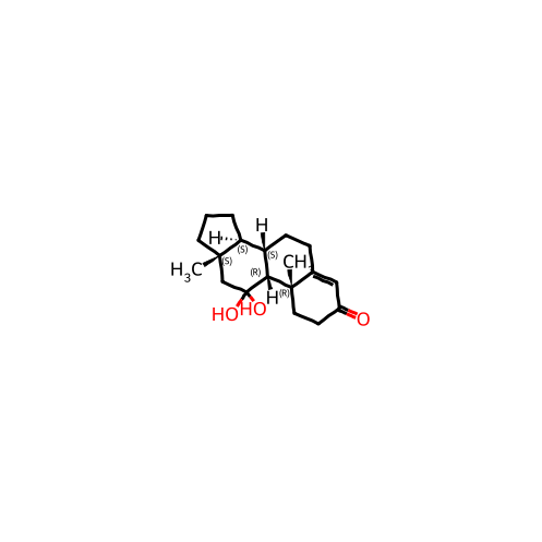 C[C@@]12CCC[C@H]1[C@@H]1CCC3=CC(=O)CC[C@]3(C)[C@@H]1C(O)(O)C2